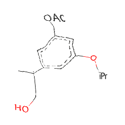 C[C](CO)c1cc(OC(C)=O)cc(OC(C)C)c1